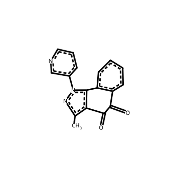 Cc1nn(-c2cccnc2)c2c1C(=O)C(=O)c1ccccc1-2